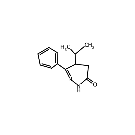 CC(C)C1CC(=O)NN=C1c1ccccc1